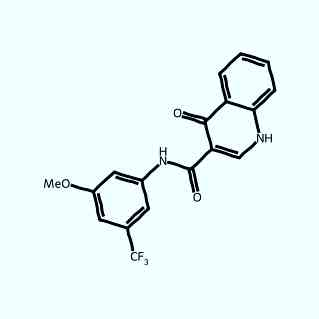 COc1cc(NC(=O)c2c[nH]c3ccccc3c2=O)cc(C(F)(F)F)c1